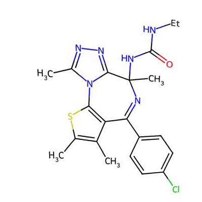 CCNC(=O)NC1(C)N=C(c2ccc(Cl)cc2)c2c(sc(C)c2C)-n2c(C)nnc21